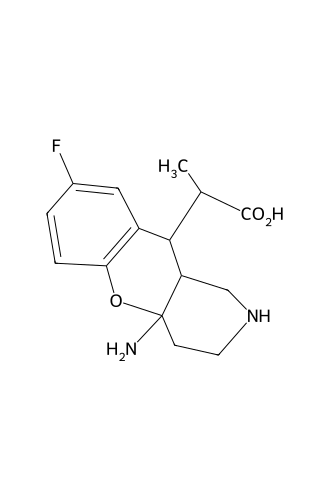 CC(C(=O)O)C1c2cc(F)ccc2OC2(N)CCNCC12